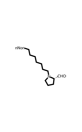 CCCCCCCCCCCCCCCCN1CCC[C@H]1[C]=O